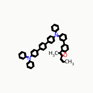 C/C=C\c1oc2ccc(-c3cccc(N(c4ccccc4)c4ccc(-c5ccc(-c6ccc(N(c7ccccc7)c7ccccc7)cc6)cc5)cc4)c3)cc2c1C